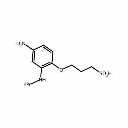 CCCNc1cc([N+](=O)[O-])ccc1OCCCS(=O)(=O)O